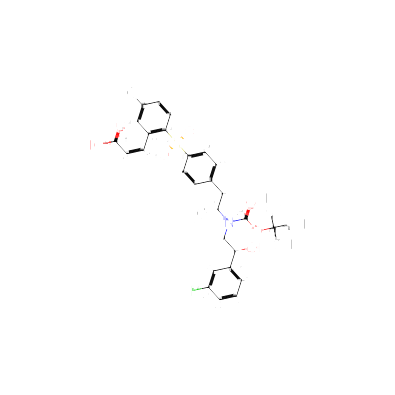 Cc1ccc(S(=O)(=O)c2ccc(C[C@@H](C)N(C[C@@H](O)c3cccc(Cl)c3)C(=O)OC(C)(C)C)cc2)c(/C=C\C(=O)O)c1